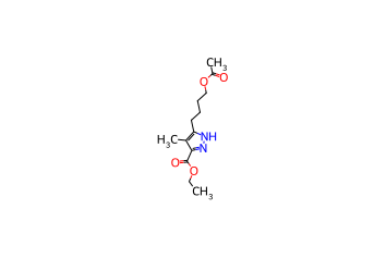 CCOC(=O)c1n[nH]c(CCCCOC(C)=O)c1C